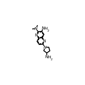 CN(C)c1nc2ccc(N3CCC(N)C3)nc2cc1N